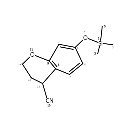 C[Si](C)(C)Oc1ccc2c(c1)OCCC2C#N